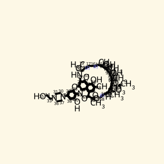 CC(=O)O[C@H]1[C@H](C)[C@H](O)[C@H](C)[C@@H](O)[C@@H](C)/C=C/C=C(/C)C(=O)Nc2c3oc4cc(N5CCN(CCO)CC5)cc(O)c4nc-3c3c4c(c(C)c(O)c3c2=O)O[C@](C)(O/C=C/[C@H](C)[C@H]1C)C4=O